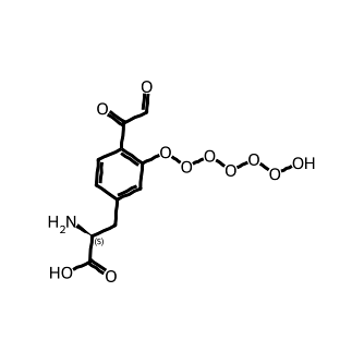 N[C@@H](Cc1ccc(C(=O)C=O)c(OOOOOOO)c1)C(=O)O